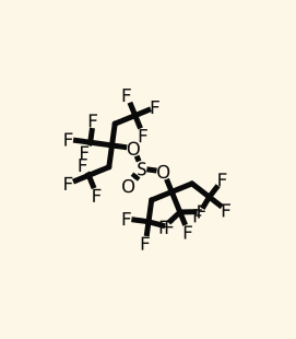 O=S(OC(CC(F)(F)F)(CC(F)(F)F)C(F)(F)F)OC(CC(F)(F)F)(CC(F)(F)F)C(F)(F)F